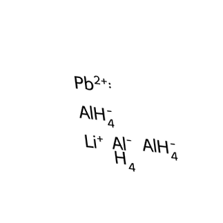 [AlH4-].[AlH4-].[AlH4-].[Li+].[Pb+2]